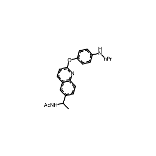 CCCNc1ccc(Oc2ccc3cc(C(C)NC(C)=O)ccc3n2)cc1